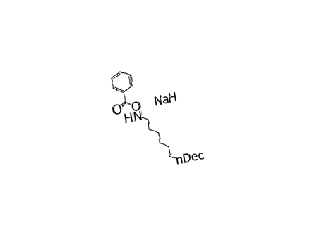 CCCCCCCCCCCCCCCCNOC(=O)c1ccccc1.[NaH]